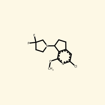 COc1nc(Cl)cc2c1C(N1CCC(F)(F)C1)CC2